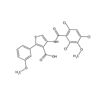 COc1cccc(-c2scc(NC(=O)c3c(Cl)cc(Cl)c(OC)c3Cl)c2C(=O)O)c1